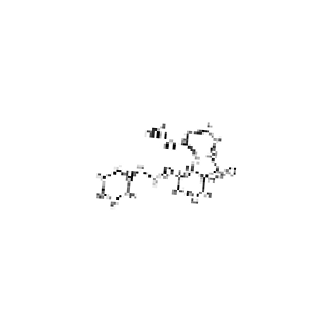 CCCCOc1cccc2c1-c1c(OCCN3CCCCC3)cccc1C2=O